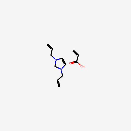 C=CC(=O)O.C=CCN1C=CN(CC=C)C1